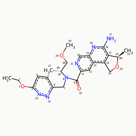 CCOc1ccc(CN(C(=O)c2cc3c4c(c(N)nc3cn2)[C@@H](C)OC4)[C@H](C)COC)nn1